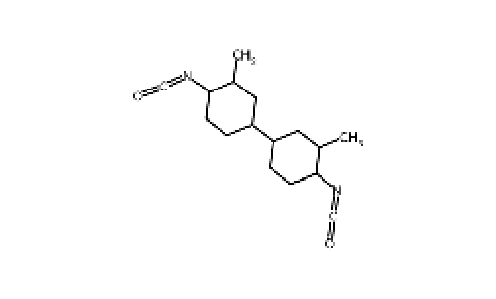 CC1CC(C2CCC(N=C=O)C(C)C2)CCC1N=C=O